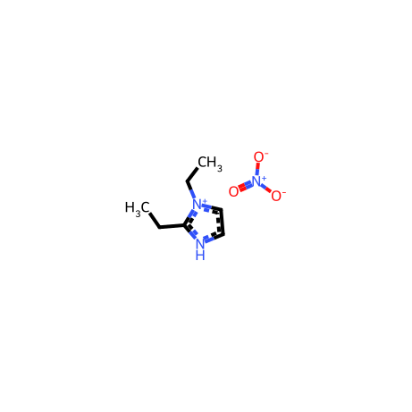 CCc1[nH]cc[n+]1CC.O=[N+]([O-])[O-]